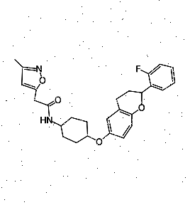 Cc1cc(CC(=O)NC2CCC(Oc3ccc4c(c3)CCC(c3ccccc3F)O4)CC2)on1